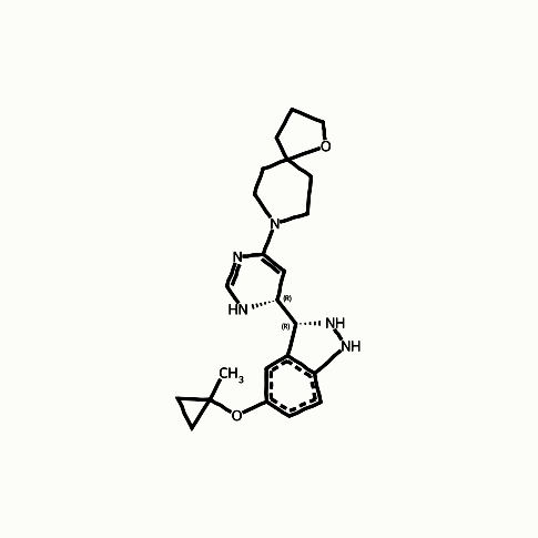 CC1(Oc2ccc3c(c2)[C@H]([C@H]2C=C(N4CCC5(CCCO5)CC4)N=CN2)NN3)CC1